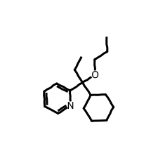 CCCOC(CC)(c1ccccn1)C1CCCCC1